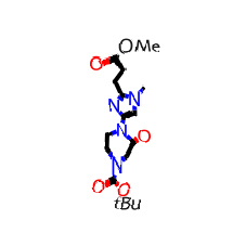 COC(=O)CCc1nc(N2CCN(C(=O)OC(C)(C)C)CC2=O)cn1C